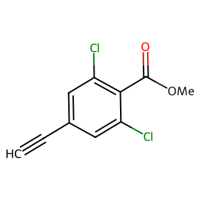 C#Cc1cc(Cl)c(C(=O)OC)c(Cl)c1